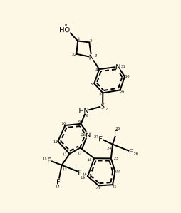 OC1CN(c2cc(SNc3ccc(C(F)(F)F)c(-c4ccccc4C(F)(F)F)n3)ccn2)C1